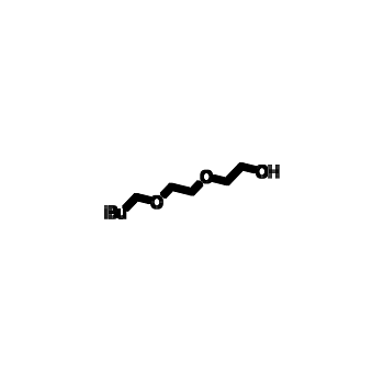 CCC(C)COCCOCCO